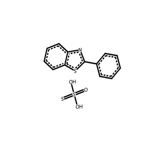 O=S(O)(O)=S.c1ccc(-c2nc3ccccc3s2)cc1